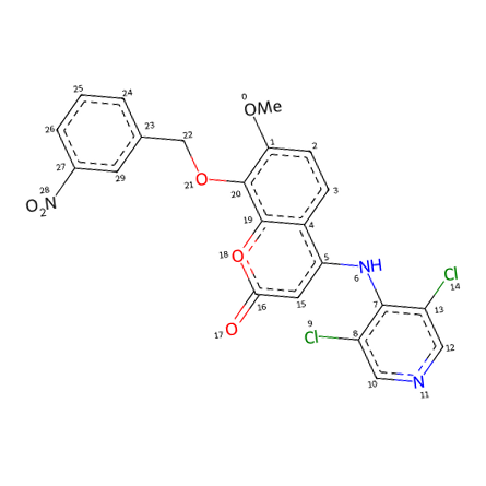 COc1ccc2c(Nc3c(Cl)cncc3Cl)cc(=O)oc2c1OCc1cccc([N+](=O)[O-])c1